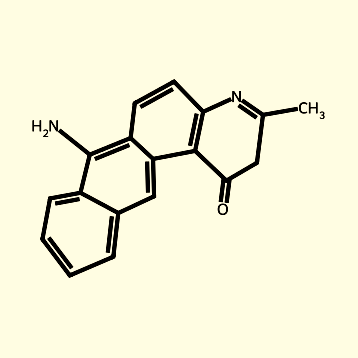 CC1=Nc2ccc3c(N)c4ccccc4cc3c2C(=O)C1